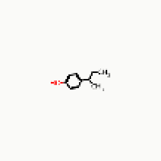 CC[C](C)c1ccc(O)cc1